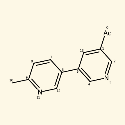 CC(=O)c1cncc(-c2ccc(C)nc2)c1